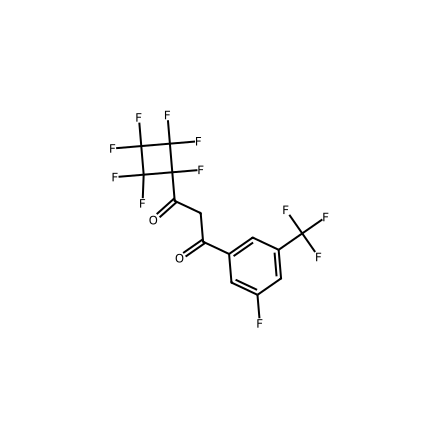 O=C(CC(=O)C1(F)C(F)(F)C(F)(F)C1(F)F)c1cc(F)cc(C(F)(F)F)c1